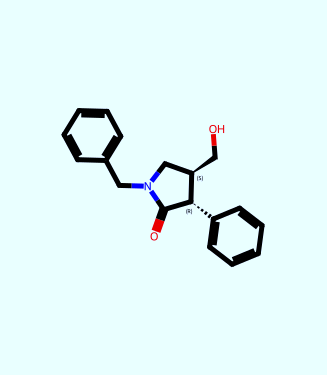 O=C1[C@@H](c2ccccc2)[C@H](CO)CN1Cc1ccccc1